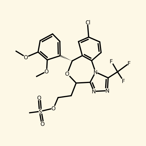 COc1cccc([C@H]2OC(CCOS(C)(=O)=O)c3nnc(C(F)(F)F)n3-c3ccc(Cl)cc32)c1OC